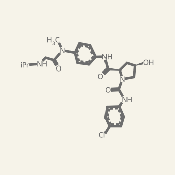 CC(C)NCC(=O)N(C)c1ccc(NC(=O)[C@H]2C[C@@H](O)CN2C(=O)Nc2ccc(Cl)cc2)cc1